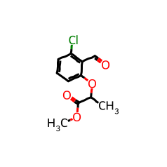 COC(=O)C(C)Oc1cccc(Cl)c1C=O